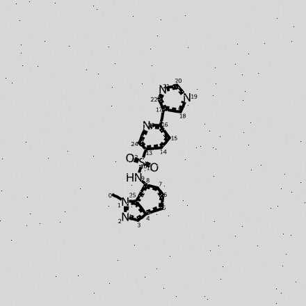 Cn1ncc2cccc(NS(=O)(=O)c3ccc(-c4cncnc4)nc3)c21